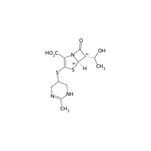 CC1=NCC(SC2=C(C(=O)O)N3C(=O)[C@H](C(C)O)[C@H]3S2)CN1